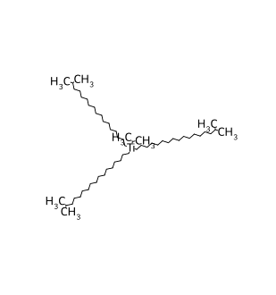 CC(C)CCCCCCCCCCCCCC[CH2][Ti]([CH2]CCCCCCCCCCCCCCC(C)C)([CH2]CCCCCCCCCCCCCCC(C)C)[CH](C)C